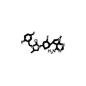 CC1CN(c2ccc(-c3cn(C)c4ncnc(N)c34)c(F)c2)C(=O)N1Cc1cc(F)ccc1F